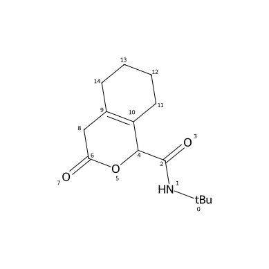 CC(C)(C)NC(=O)C1OC(=O)CC2=C1CCCC2